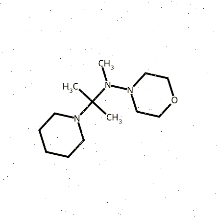 CN(N1CCOCC1)C(C)(C)N1CCCCC1